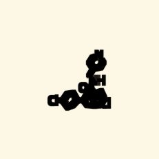 Cl.O=C(NCc1ccncc1)C12CC3CC(C1)CC(c1ccc(Cl)cc1)(C3)C2